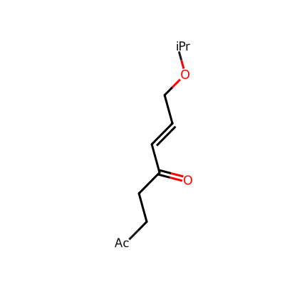 CC(=O)CCC(=O)/C=C/COC(C)C